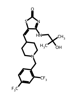 CC(C)(O)CNC1=NC(=O)SC1=CC1CCN(Cc2ccc(C(F)(F)F)cc2C(F)(F)F)CC1